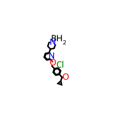 BN1CCC(c2cccc(OCc3ccc(C(=O)C4CC4)cc3Cl)n2)CC1